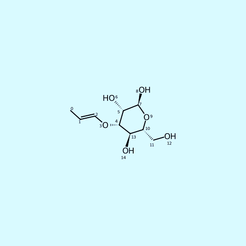 CC=CO[C@@H]1[C@H](O)[C@@H](O)O[C@H](CO)[C@H]1O